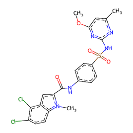 COc1cc(C)nc(NS(=O)(=O)c2ccc(NC(=O)c3cc4c(Cl)c(Cl)ccc4n3C)cc2)n1